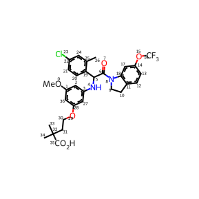 COc1cc(NC(C(=O)N2CCc3ccc(OC(F)(F)F)cc32)c2ccc(Cl)cc2C)cc(OCCC(C)(C)C(=O)O)c1